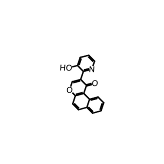 O=c1c(-c2ncccc2O)coc2ccc3ccccc3c12